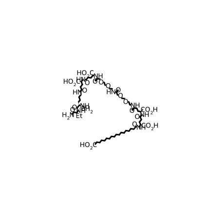 BN[C@@H](CCCCNC(=O)CC[C@H](NC(=O)CC[C@H](NC(=O)COCCOCCNC(=O)COCCOCCNC(=O)CC[C@H](NC(=O)CC[C@H](NC(=O)CCCCCCCCCCCCCCCCC(=O)O)C(=O)O)C(=O)O)C(=O)O)C(=O)O)C(=O)N[C@@H](CC)C(N)=O